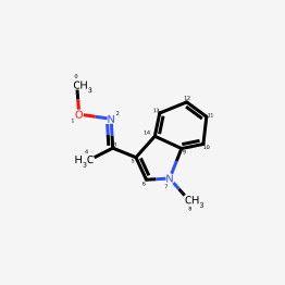 CON=C(C)c1cn(C)c2ccccc12